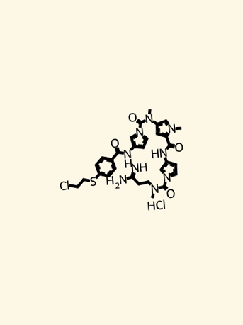 CN(CCC(=N)N)C(=O)n1ccc(NC(=O)c2cc(N(C)C(=O)n3ccc(NC(=O)c4ccc(SCCCl)cc4)c3)cn2C)c1.Cl